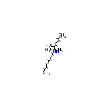 CCCCCCCCCCNC(C)(C)C(C)CCCCCC